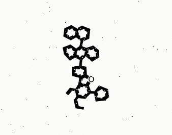 C=Cc1c(/C=C\C)cc(-c2ccccc2)c2oc3cc(-c4c5ccccc5c(-c5cccc6ccccc56)c5ccccc45)ccc3c12